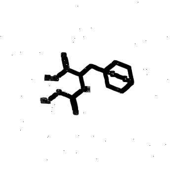 COC(=O)C(CC12CCC(CC1)CC2)NC(=O)OC(C)(C)C